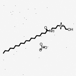 CCCCCCCCCCCCCCCCCC(=O)NCCC[N+](C)(C)CCO.O=[N+]([O-])[O-]